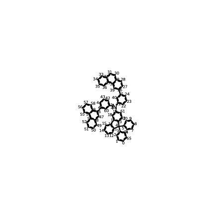 c1ccc(C2(c3ccccc3)c3ccccc3-c3cc(N(c4cccc(-c5ccc6ccc7ccccc7c6c5)c4)c4cccc(-c5cc6ccccc6c6ccccc56)c4)ccc32)cc1